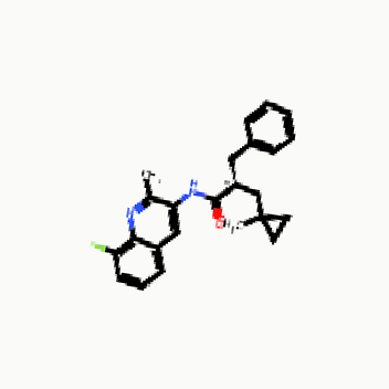 Cc1nc2c(F)cccc2cc1NC(=O)[C@@H](Cc1ccccc1)CC1(C)CC1